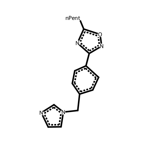 CCCCCc1nc(-c2ccc(Cn3ccnc3)cc2)no1